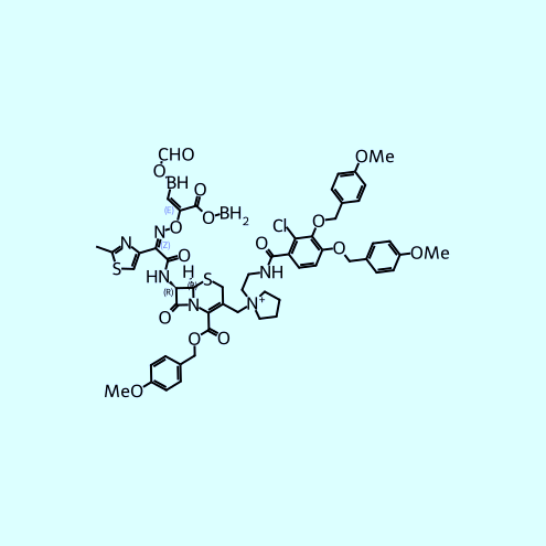 BOC(=O)/C(=C\BOC=O)O/N=C(\C(=O)N[C@@H]1C(=O)N2C(C(=O)OCc3ccc(OC)cc3)=C(C[N+]3(CCNC(=O)c4ccc(OCc5ccc(OC)cc5)c(OCc5ccc(OC)cc5)c4Cl)CCCC3)CS[C@H]12)c1csc(C)n1